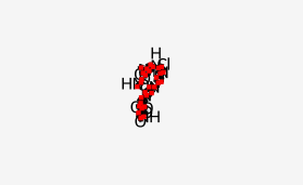 CNC(=O)COc1cc2cc(Nc3nc(N4CCC(CN5CCC6(CCN(c7ccc8c(c7)C(=O)N(C7CCC(=O)NC7=O)C8=O)CC6)C5)CC4)ncc3Cl)ccc2n(C(C)C)c1=O